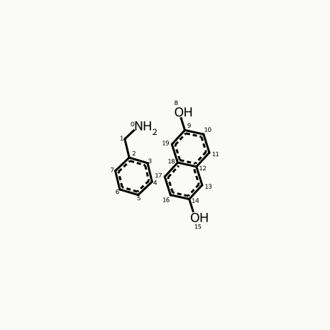 NCc1ccccc1.Oc1ccc2cc(O)ccc2c1